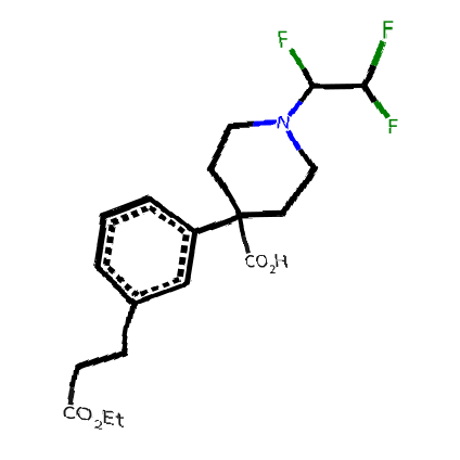 CCOC(=O)CCc1cccc(C2(C(=O)O)CCN(C(F)C(F)F)CC2)c1